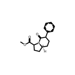 COC(=O)C1CC[C@@H]2CCC(c3ccccc3)C(=O)N12